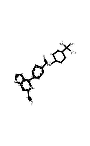 CC(C)(O)C1CCC(NC(=O)c2ccc(-c3nc(C#N)cc4occc34)cc2)CC1